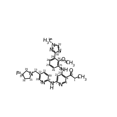 CCC(=O)c1cnc(Nc2ccc(CN3CC[C@H](F)C3)cn2)cc1Nc1cccc(-c2ncn(C)n2)c1OC